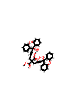 COC(=O)C(CC#CC1(O)c2ccccc2Oc2ccccc21)(CC#CC1(O)c2ccccc2Oc2ccccc21)C(=O)OC